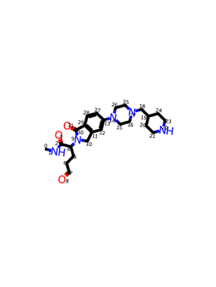 CNC(=O)C(CCC=O)N1Cc2cc(N3CCN(CC4CCNCC4)CC3)ccc2C1=O